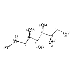 CC(C)NC[C@@H](O)[C@@H](O)[C@H](O)[C@H](O)CO